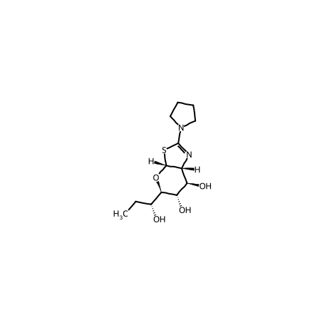 CC[C@@H](O)[C@H]1O[C@@H]2SC(N3CCCC3)=N[C@@H]2[C@@H](O)[C@@H]1O